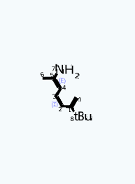 C=C(/C=C\C=C(/C)N)C(C)(C)C